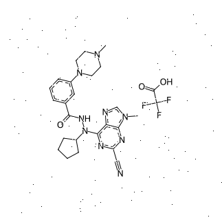 CN1CCN(c2cccc(C(=O)NN(c3nc(C#N)nc4c3ncn4C)C3CCCC3)c2)CC1.O=C(O)C(F)(F)F